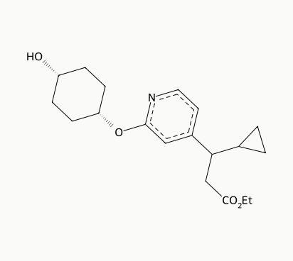 CCOC(=O)CC(c1ccnc(O[C@H]2CC[C@@H](O)CC2)c1)C1CC1